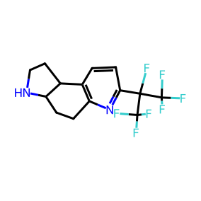 FC(F)(F)C(F)(c1ccc2c(n1)CCC1NCCC21)C(F)(F)F